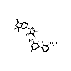 C=C1CC(C)(C)c2cc(N3N=C(C)/C(=N/Nc4cc(C)cc(-c5cccc(C(=O)O)c5)c4O)C3=O)ccc21